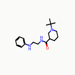 CC(C)(C)N1CCCC(C(=O)NCCNc2ccccc2)C1